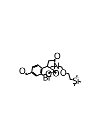 C[Si](C)(C)CCOCN1C(=O)CC(c2ccc(C=O)cc2Br)S1(=O)=O